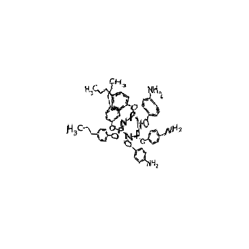 CCCc1ccc(OP2N=P(Oc3ccc(CCC)cc3)(Oc3ccc(CCC)cc3)N(Oc3ccc(N)cc3)P(Oc3ccc(N)cc3)N2Oc2ccc(N)cc2)cc1